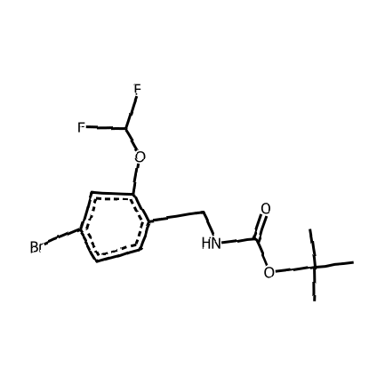 CC(C)(C)OC(=O)NCc1ccc(Br)cc1OC(F)F